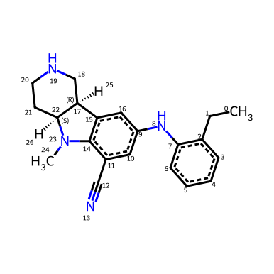 CCc1ccccc1Nc1cc(C#N)c2c(c1)[C@@H]1CNCC[C@@H]1N2C